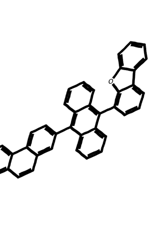 c1ccc2c(c1)ccc1cc(-c3c4ccccc4c(-c4cccc5c4oc4ccccc45)c4ccccc34)ccc12